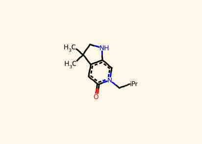 CC(C)Cn1cc2c(cc1=O)C(C)(C)CN2